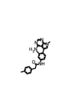 Cc1ccc(CC(=O)Nc2ccc(-c3cn(C)c4ncnc(N)c34)c(C)c2)cc1